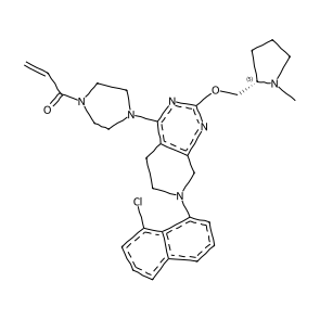 C=CC(=O)N1CCN(c2nc(OC[C@@H]3CCCN3C)nc3c2CCN(c2cccc4cccc(Cl)c24)C3)CC1